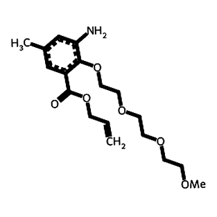 C=CCOC(=O)c1cc(C)cc(N)c1OCCOCCOCCOC